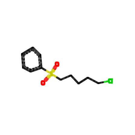 O=S(=O)(CCCCCCl)c1ccccc1